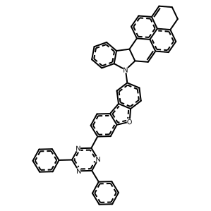 C1=c2ccc3c4c(ccc(c24)CC1)=CC1C3c2ccccc2N1c1ccc2oc3cc(-c4nc(-c5ccccc5)nc(-c5ccccc5)n4)ccc3c2c1